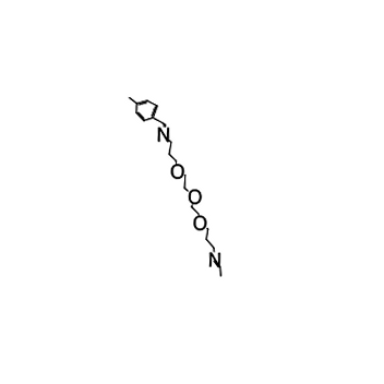 CC=NCCCOCCOCCOCCCN=Cc1ccc(C)cc1